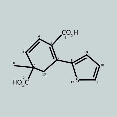 CC1(C(=O)O)C=CC(C(=O)O)=C(c2cccs2)C1